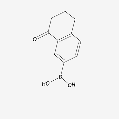 O=C1CCCc2ccc(B(O)O)cc21